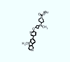 Cn1c2ccncc2c2ccc(-c3ccc(O[C@H]4C[C@H](N(C)C5CCN(C(=O)OC(C)(C)C)CC5)C4)nc3)cc21